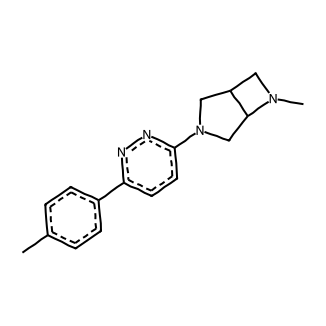 Cc1ccc(-c2ccc(N3CC4CN(C)C4C3)nn2)cc1